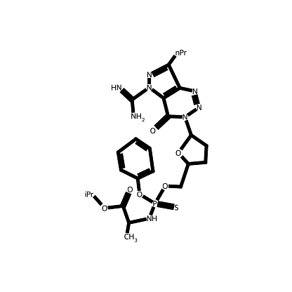 CCCc1nn(C(=N)N)c2c(=O)n(C3CCC(COP(=S)(NC(C)C(=O)OC(C)C)Oc4ccccc4)O3)nnc12